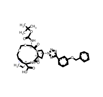 CC[C@]1(C(=O)O)/C=C\CCCC[C@H](NC(=O)OC(C)(C)C)C(=O)N2C[C@H](n3nnc(-c4cccc(OCc5ccccc5)c4)n3)C[C@H]2C(=O)N1